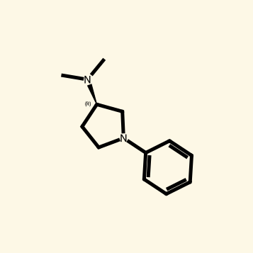 CN(C)[C@@H]1CCN(c2ccccc2)C1